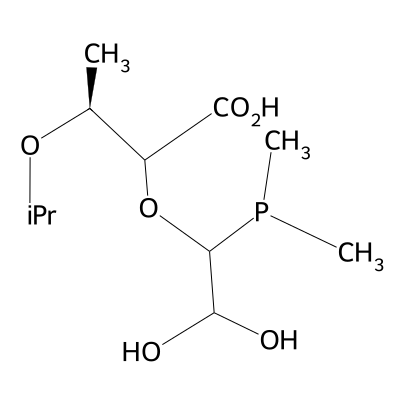 CC(C)O[C@@H](C)C(OC(C(O)O)P(C)C)C(=O)O